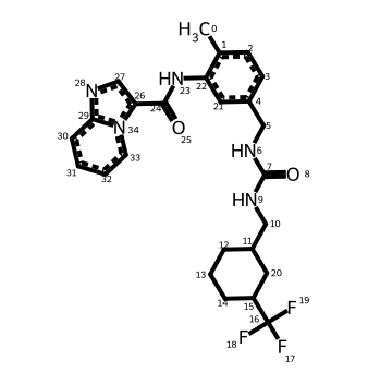 Cc1ccc(CNC(=O)NCC2CCCC(C(F)(F)F)C2)cc1NC(=O)c1cnc2ccccn12